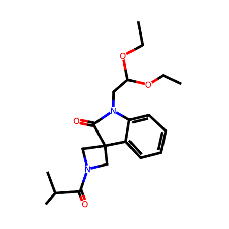 CCOC(CN1C(=O)C2(CN(C(=O)C(C)C)C2)c2ccccc21)OCC